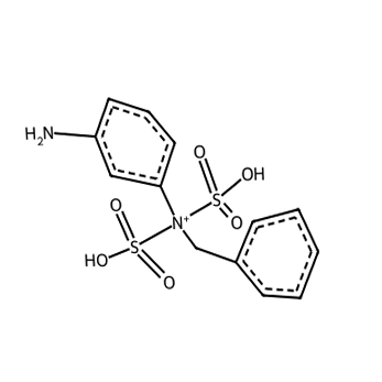 Nc1cccc([N+](Cc2ccccc2)(S(=O)(=O)O)S(=O)(=O)O)c1